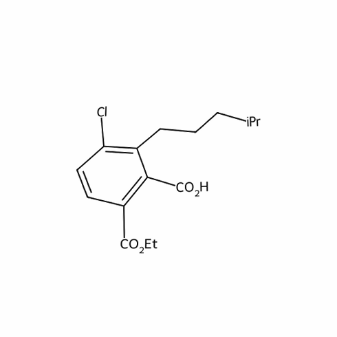 CCOC(=O)c1ccc(Cl)c(CCCC(C)C)c1C(=O)O